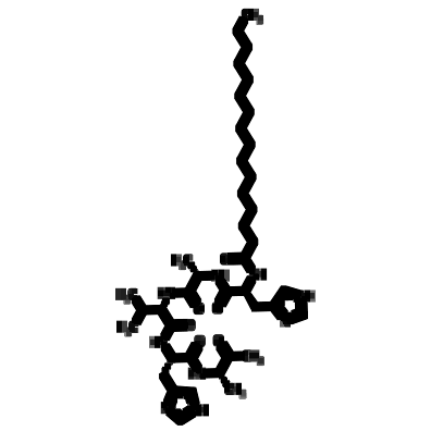 CCCCCCCCCCCCCCCC(=O)N[C@@H](Cc1c[nH]cn1)C(=O)N[C@@H](C)C(=O)N[C@H](C(=O)N[C@@H](Cc1c[nH]cn1)C(=O)N[C@@H](C)C(C)=O)C(C)C